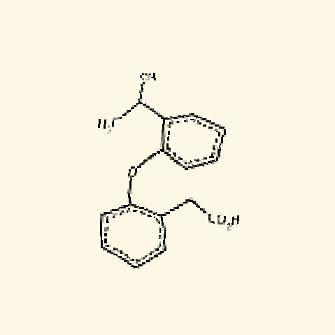 CC(C#N)c1ccccc1Oc1ccccc1CC(=O)O